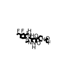 Cc1nc(N[C@H](C)c2cccc(C(C)F)c2F)c2cc(C3(O)CCN(C(=O)CF)CC3)c(=O)[nH]c2n1